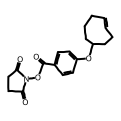 O=C(ON1C(=O)CCC1=O)c1ccc(OC2CC/C=C/CCC2)cc1